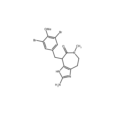 COc1c(Br)cc(CC2C(=O)N(C)CCc3nc(N)[nH]c32)cc1Br